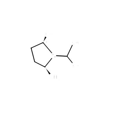 CC(C)N1[C@H](C)CC[C@@H]1C